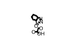 O=C(O)C(=O)On1nnc2ccccc21